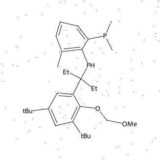 CCC(CC)(Pc1c(C)cccc1P(C)C)c1cc(C(C)(C)C)cc(C(C)(C)C)c1OCOC